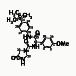 COc1ccc(C(NC(=O)N2CNC(=O)C2)C(=O)Nc2ccc(S(C)(C)C)cc2)cc1